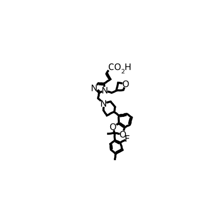 Cc1ccc(C2(C)Oc3cccc(C4CCN(Cc5ncc(/C=C/C(=O)O)n5CC5COC5)CC4)c3O2)c(F)c1